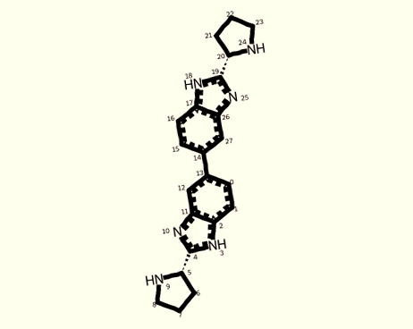 c1cc2[nH]c([C@@H]3CCCN3)nc2cc1-c1ccc2[nH]c([C@@H]3CCCN3)nc2c1